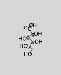 OC[C@@H](O)[C@@H](O)[C@H](O)[C@H](O)[14CH2]O